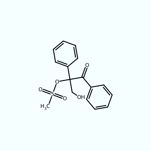 CS(=O)(=O)OC(CO)(C(=O)c1ccccc1)c1ccccc1